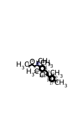 C/C=C(/CC(=O)CC)c1c(C)cc(CCc2ccc(C)cc2C)c(C)c1C